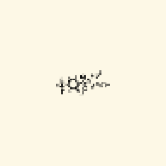 C=C1CN(S(=O)(=O)c2ccc(C(F)(F)F)cc2Cl)C[C@H]1O